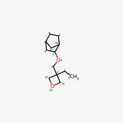 CCC1(COC2CC3CCC2C3)COC1